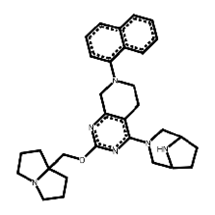 c1ccc2c(N3CCc4c(nc(OCC56CCCN5CCC6)nc4N4CC5CCC(C4)N5)C3)cccc2c1